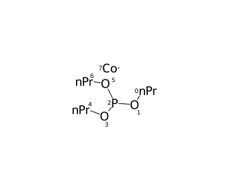 CCCOP(OCCC)OCCC.[Co]